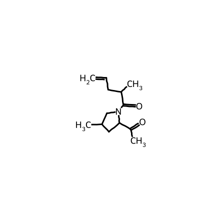 C=CCC(C)C(=O)N1CC(C)CC1C(C)=O